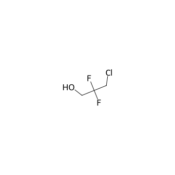 OCC(F)(F)CCl